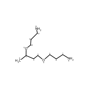 CC(CCOCCCN)OCCCN